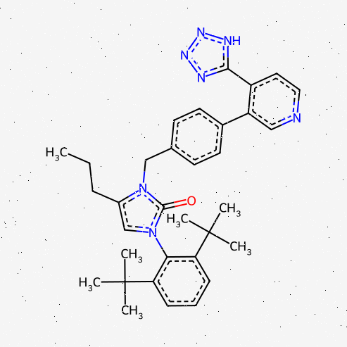 CCCc1cn(-c2c(C(C)(C)C)cccc2C(C)(C)C)c(=O)n1Cc1ccc(-c2cnccc2-c2nnn[nH]2)cc1